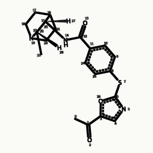 CC(=O)c1cnc(Sc2ccc(C(=O)N[C@@H]3C4CCN(CC4)[C@H]3C)cc2)o1